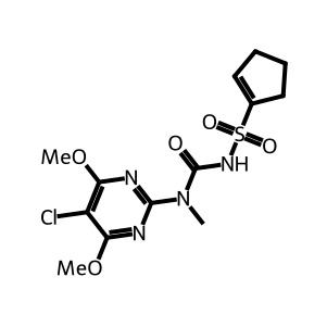 COc1nc(N(C)C(=O)NS(=O)(=O)C2=CCCC2)nc(OC)c1Cl